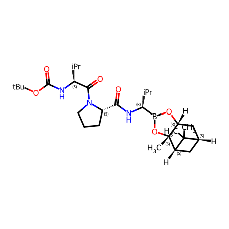 CC(C)[C@H](NC(=O)[C@@H]1CCCN1C(=O)[C@@H](NC(=O)OC(C)(C)C)C(C)C)B1O[C@@H]2C[C@@H]3C[C@@H](C3(C)C)[C@]2(C)O1